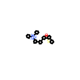 c1ccc(-c2nc(-c3ccccc3)nc(-c3cccc(-c4cccc(-c5ccc6oc7ccc8c9ccccc9sc8c7c6c5)c4)c3)n2)cc1